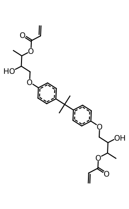 C=CC(=O)OC(C)C(O)COc1ccc(C(C)(C)c2ccc(OCC(O)C(C)OC(=O)C=C)cc2)cc1